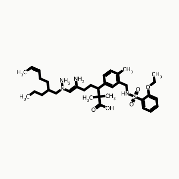 C/C=C\CCC(CCC)CN(N)/C=C(\N)CCC(c1ccc(C)c(CNS(=O)(=O)c2ccccc2OCC)c1)C(C)(C)C(=O)O